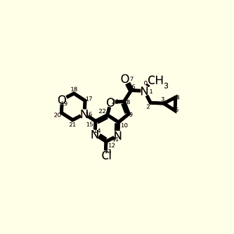 CN(CC1CC1)C(=O)c1cc2nc(Cl)nc(N3CCOCC3)c2o1